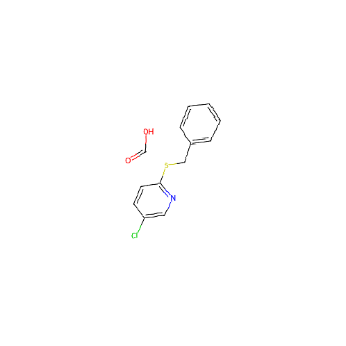 Clc1ccc(SCc2ccccc2)nc1.O=CO